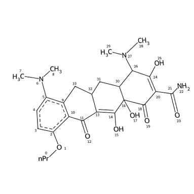 CCCOc1ccc(N(C)C)c2c1C(=O)C1=C(O)C3(O)C(=O)C(C(N)=O)=C(O)C(N(C)C)C3CC1C2